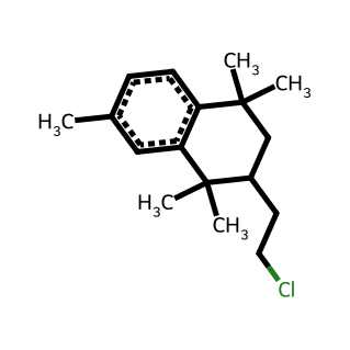 Cc1ccc2c(c1)C(C)(C)C(CCCl)CC2(C)C